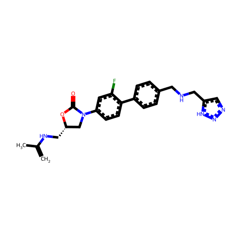 C=C(C)NC[C@H]1CN(c2ccc(-c3ccc(CNCc4cnn[nH]4)cc3)c(F)c2)C(=O)O1